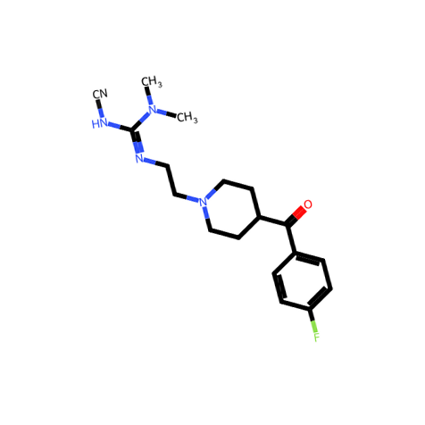 CN(C)/C(=N\CCN1CCC(C(=O)c2ccc(F)cc2)CC1)NC#N